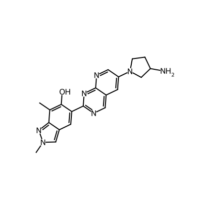 Cc1c(O)c(-c2ncc3cc(N4CCC(N)C4)cnc3n2)cc2cn(C)nc12